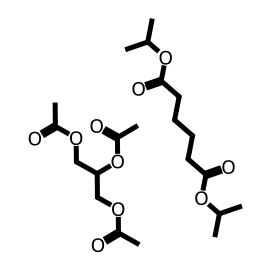 CC(=O)OCC(COC(C)=O)OC(C)=O.CC(C)OC(=O)CCCCC(=O)OC(C)C